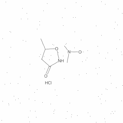 CC1CC(=O)NO1.CN(C)[O].Cl